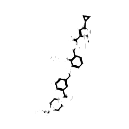 COc1c(CNC(=O)c2cc(C3CC3)nn2C)cccc1OCc1cccc(C(=O)N2CCN(SC(C)C)CC2)c1